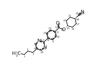 CCCCc1cnc(-c2ccc(C(=O)O[C@H]3CC[C@H](C#N)CC3)cc2)nc1